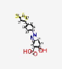 O=C(O)c1cc(N=Nc2ccc(-c3cc(=S)ss3)cc2)ccc1O